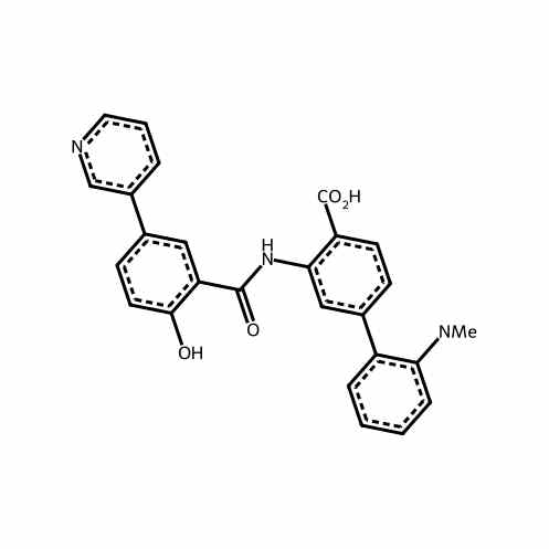 CNc1ccccc1-c1ccc(C(=O)O)c(NC(=O)c2cc(-c3cccnc3)ccc2O)c1